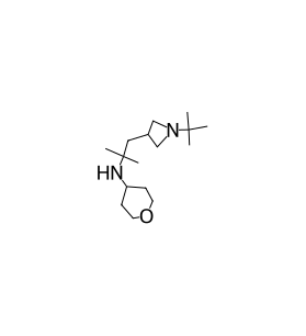 CC(C)(CC1CN(C(C)(C)C)C1)NC1CCOCC1